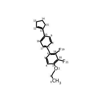 CCOc1ccc(-c2ccc(C3=CCCC3)cc2)c(F)c1F